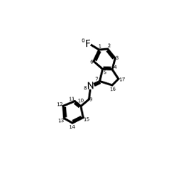 Fc1ccc2c(c1)C(=NCc1ccccc1)CC2